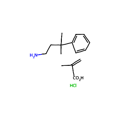 C=C(C)C(=O)O.CC(C)(CCN)c1ccccc1.Cl